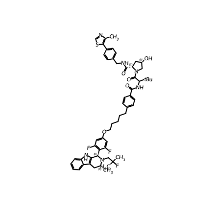 Cc1ncsc1-c1ccc(CNC(=O)[C@@H]2C[C@@H](O)CN2C(=O)C(NC(=O)c2ccc(CCCCCOc3cc(F)c([C@@H]4c5[nH]c6ccccc6c5C[C@@H](C)N4CC(C)(C)F)c(F)c3)cc2)C(C)(C)C)cc1